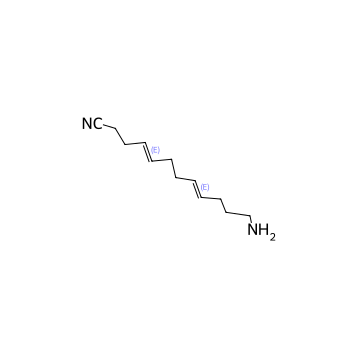 N#CCC/C=C/CC/C=C/CCCN